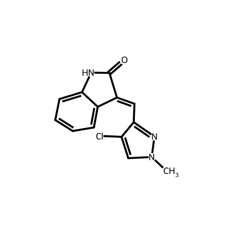 Cn1cc(Cl)c(C=C2C(=O)Nc3ccccc32)n1